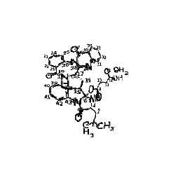 CC(C)CC1NC2(OC(=O)CCC(=O)O)C(C[C@@H]3NC(=O)c4ccccc4-n4c3nc3ccccc3c4=O)c3ccccc3N2C1=O.O